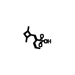 C/C=C\C(=C/C1C(C)CC1C)S(=O)(=O)O